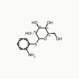 Nc1ccccc1SC1O[C@H](CO)[C@H](O)[C@H](O)[C@H]1O